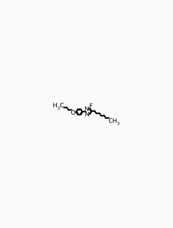 CCCCCCCCc1cnc(-c2ccc(OCCCCC)cc2)nc1F